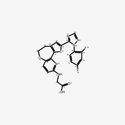 O=C(O)CNc1ccc2c(n1)-c1sc(-c3ncnn3-c3ccc(F)cc3F)cc1CCO2